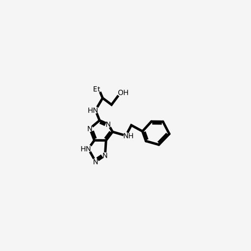 CCC(CO)Nc1nc(NCc2ccccc2)c2nn[nH]c2n1